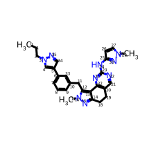 CCCn1cc(-c2cccc(Cc3c4c(nn3C)CCc3cnc(Nc5ccn(C)n5)nc3-4)c2)cn1